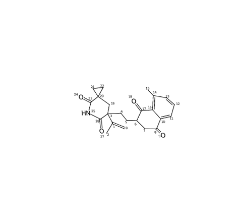 C=C(C)C1(CCC2CC(=O)c3cccc(C)c3C2=O)CC2(CC2)C(=O)NC1=O